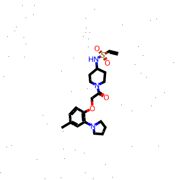 C=CS(=O)(=O)NC1CCN(C(=O)COc2ccc(C)cc2N2CCCC2)CC1